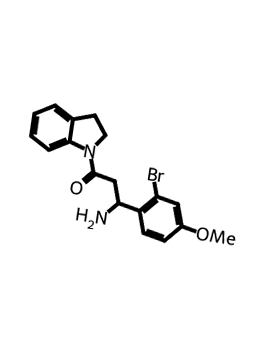 COc1ccc(C(N)CC(=O)N2CCc3ccccc32)c(Br)c1